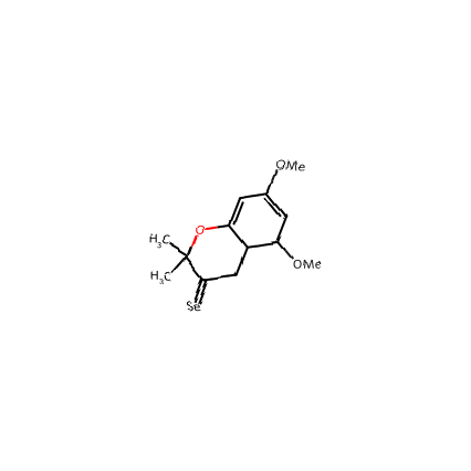 COC1=CC(OC)C2CC(=[Se])C(C)(C)OC2=C1